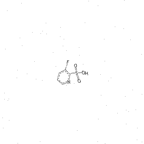 O=S(=O)(O)c1ncccc1F